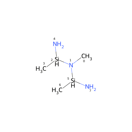 CN([SiH](C)N)[SiH](C)N